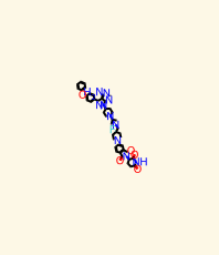 Nc1ncnc2c1c(-c1ccc(Oc3ccccc3)cc1)nn2C1CCN(C2CN(CC3(F)CCN(c4ccc5c(c4)C(=O)N(C4CCC(=O)NC4=O)C5=O)CC3)C2)CC1